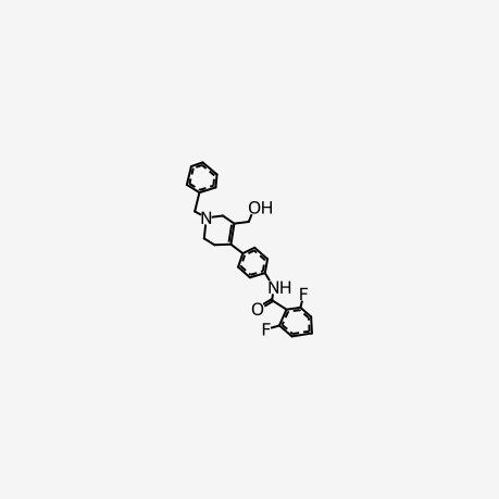 O=C(Nc1ccc(C2=C(CO)CN(Cc3ccccc3)CC2)cc1)c1c(F)cccc1F